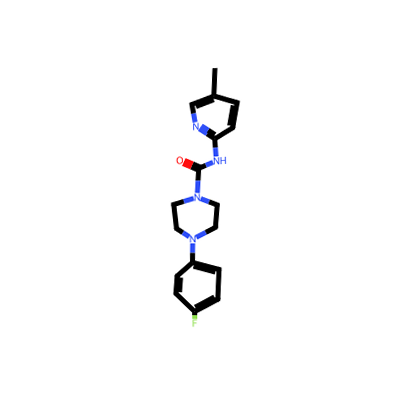 Cc1ccc(NC(=O)N2CCN(c3ccc(F)cc3)CC2)nc1